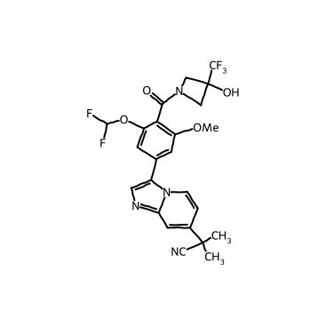 COc1cc(-c2cnc3cc(C(C)(C)C#N)ccn23)cc(OC(F)F)c1C(=O)N1CC(O)(C(F)(F)F)C1